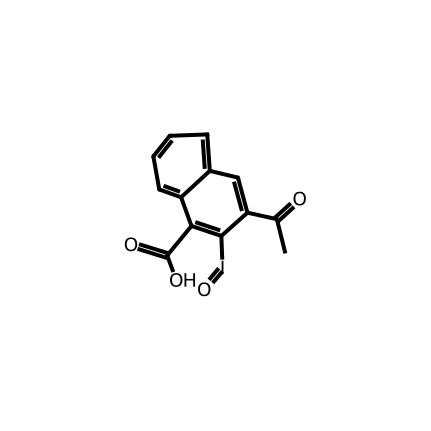 CC(=O)c1cc2ccccc2c(C(=O)O)c1I=O